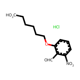 Cl.O=Cc1c(OCCCCCC(=O)O)cccc1[N+](=O)[O-]